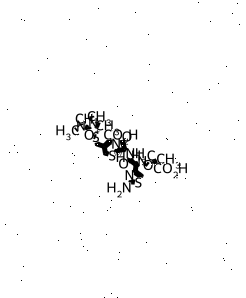 CN(C)C(=[O+]SCC1=C(C(=O)O)N2C(=O)C(NC(=O)C(=NOC(C)(C)C(=O)O)c3csc(N)n3)[C@@H]2SC1)N(C)C